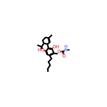 C=C(C)C1CCC(C)=CC1c1c(O)cc(CCCCC)c(COC(=O)NC)c1O